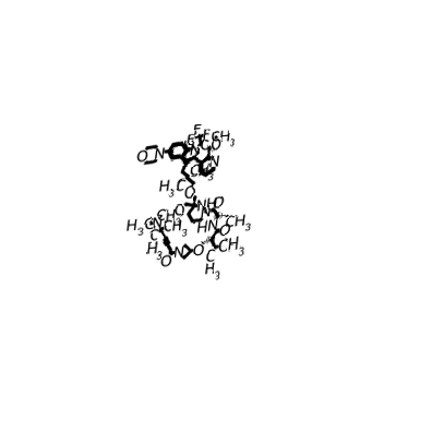 CC[C@H](NC(=O)[C@@H](COC1CN(C(=O)C#CC(C)(C)N(C)C)C1)C(C)C)C(=O)N1CCCC(C=O)(COCC(C)(C)Cc2c(-c3cccnc3[C@H](C)OC)n(CC(F)(F)F)c3ccc(N4CCOCC4)cc23)N1